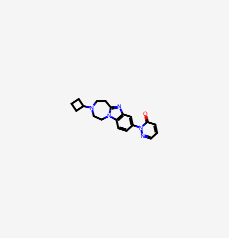 O=c1cccnn1-c1ccc2c(c1)nc1n2CCN(C2CCC2)CC1